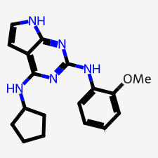 COc1c[c]ccc1Nc1nc(NC2CCCC2)c2cc[nH]c2n1